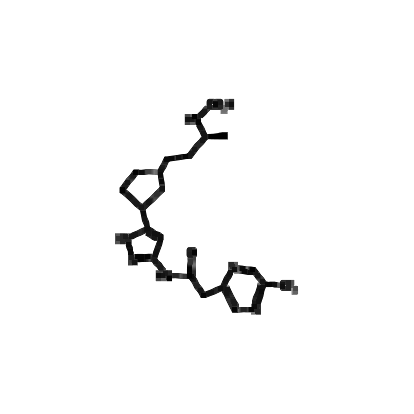 C[C@@H](CCC1CCC(c2cc(NC(=O)Cc3cnc(C(F)(F)F)cn3)n[nH]2)C1)NC(=O)O